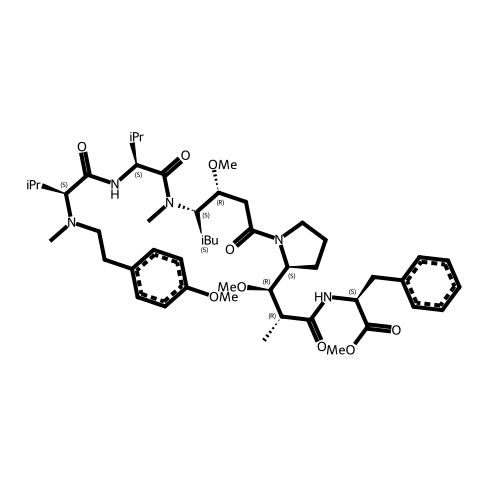 CC[C@H](C)[C@@H]([C@@H](CC(=O)N1CCC[C@H]1[C@H](OC)[C@@H](C)C(=O)N[C@@H](Cc1ccccc1)C(=O)OC)OC)N(C)C(=O)[C@@H](NC(=O)[C@H](C(C)C)N(C)CCc1ccc(OC)cc1)C(C)C